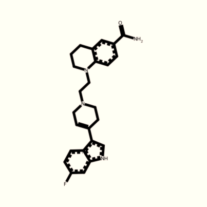 NC(=O)c1ccc2c(c1)CCCN2CCN1CC=C(c2c[nH]c3cc(F)ccc23)CC1